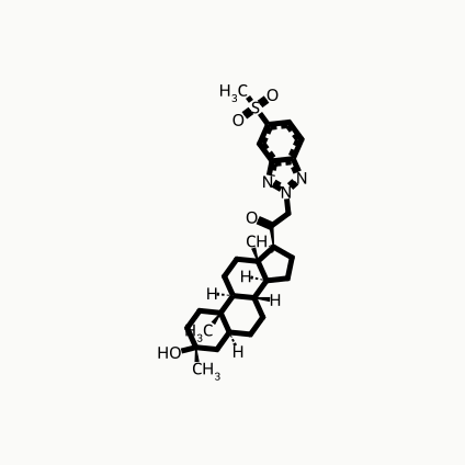 C[C@@]1(O)CC[C@@]2(C)[C@@H](CC[C@@H]3[C@@H]2CC[C@]2(C)[C@@H](C(=O)Cn4nc5ccc(S(C)(=O)=O)cc5n4)CC[C@@H]32)C1